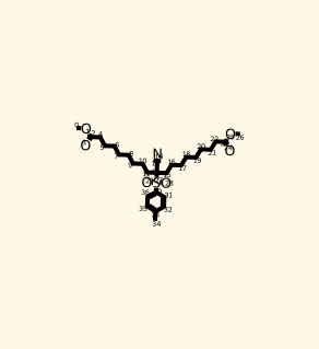 COC(=O)CCCCCCCCC(C#N)(CCCCCCCCC(=O)OC)S(=O)(=O)c1ccc(C)cc1